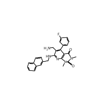 Cn1c(=O)c2c(-c3cccc(F)c3)c(CN)c(NCc3ccc4ccccc4c3)nc2n(C)c1=O